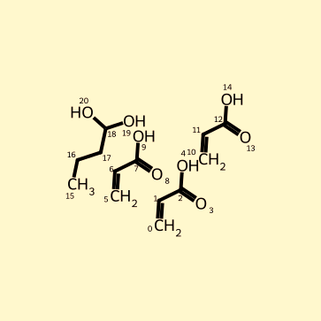 C=CC(=O)O.C=CC(=O)O.C=CC(=O)O.CCCC(O)O